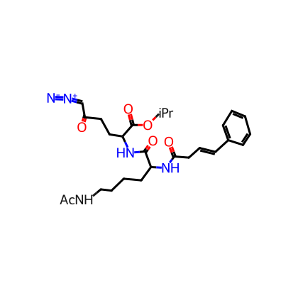 CC(=O)NCCCCC(NC(=O)CC=Cc1ccccc1)C(=O)NC(CCC(=O)C=[N+]=[N-])C(=O)OC(C)C